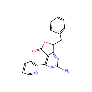 Nc1nc(-c2ccccn2)c2c(n1)C(Cc1ccccc1)OC2=O